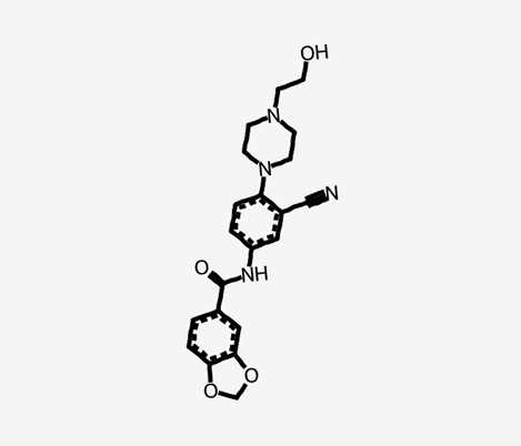 N#Cc1cc(NC(=O)c2ccc3c(c2)OCO3)ccc1N1CCN(CCO)CC1